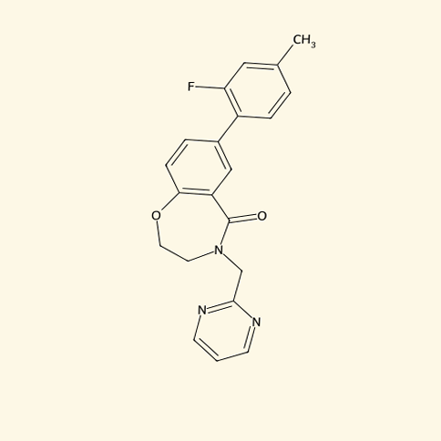 Cc1ccc(-c2ccc3c(c2)C(=O)N(Cc2ncccn2)CCO3)c(F)c1